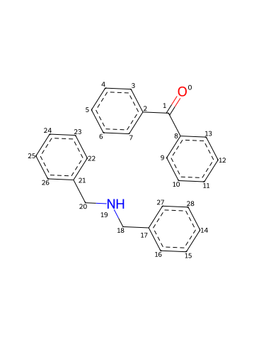 O=C(c1ccccc1)c1ccccc1.c1ccc(CNCc2ccccc2)cc1